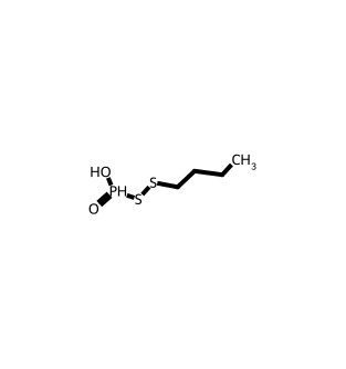 CCCCSS[PH](=O)O